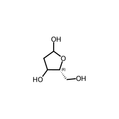 OC[C@H]1OC(O)CC1O